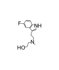 CN(CCO)CCc1c[nH]c2ccc(F)cc12